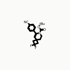 CC(C)(C)OC(=O)N1CCC2(C=C1c1ccc(C#N)cc1)CC(F)(F)C2